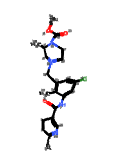 CCc1ccc(C(=O)Nc2cc(Cl)cc(CN3CCN(C(=O)OC(C)(C)C)C(C)C3)c2C)cn1